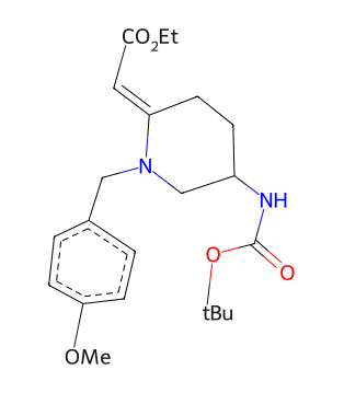 CCOC(=O)C=C1CCC(NC(=O)OC(C)(C)C)CN1Cc1ccc(OC)cc1